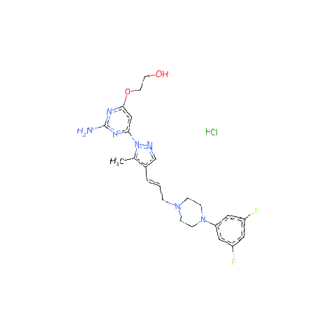 Cc1c(C=CCN2CCN(c3cc(F)cc(F)c3)CC2)cnn1-c1cc(OCCO)nc(N)n1.Cl